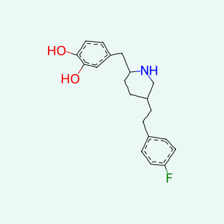 Oc1ccc(CC2CCC(CCc3ccc(F)cc3)CN2)cc1O